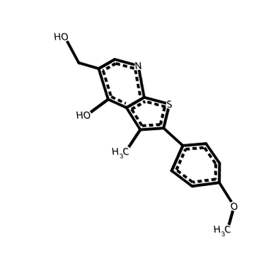 COc1ccc(-c2sc3ncc(CO)c(O)c3c2C)cc1